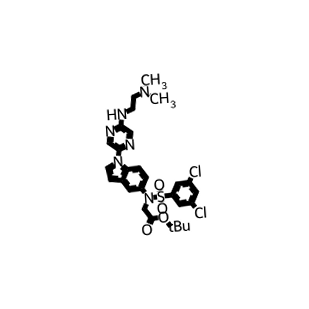 CN(C)CCNc1cnc(-n2ccc3cc(N(CC(=O)OC(C)(C)C)S(=O)(=O)c4cc(Cl)cc(Cl)c4)ccc32)cn1